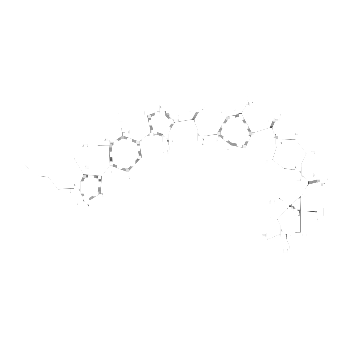 COCCn1ncc(-c2ccc(-c3cnc(C(=O)Nc4ccc(C(=O)N5CCN(C(=O)[C@H]6[C@@H]7C[N+](C)(C)C[C@@H]76)CC5)c(Cl)c4)n3C)c(F)c2F)c1C